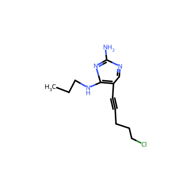 CCCNc1nc(N)ncc1C#CCCCCl